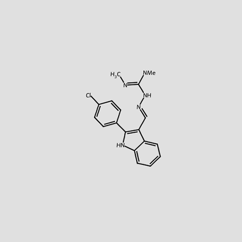 CN=C(NC)NN=Cc1c(-c2ccc(Cl)cc2)[nH]c2ccccc12